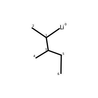 [Li][CH](C)C(C)CC